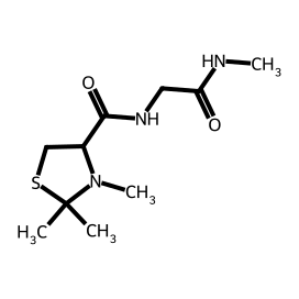 CNC(=O)CNC(=O)C1CSC(C)(C)N1C